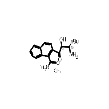 CCCC[C@@H](N)[C@H](O)C(=O)c1ccc2ccccc2c1C(N)=O.Cl